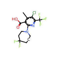 Cc1c(Cl)c(C(F)(F)F)nc(N2CCCC(F)(F)CC2)c1C(=O)O